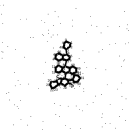 c1ccc(-c2ccc(-c3c4ccccc4c(-c4c5sc6ccccc6c5cc5sc6ccccc6c45)c4ccccc34)c3ccccc23)cc1